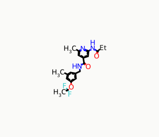 CCC(=O)Nc1cc(C(=O)NCc2cc(C)cc(OC(C)(F)F)c2)cc(C)n1